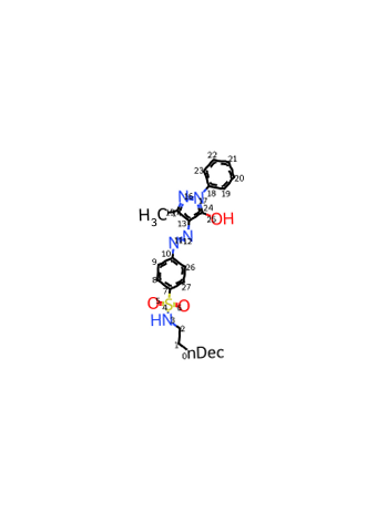 CCCCCCCCCCCCNS(=O)(=O)c1ccc(N=Nc2c(C)nn(-c3ccccc3)c2O)cc1